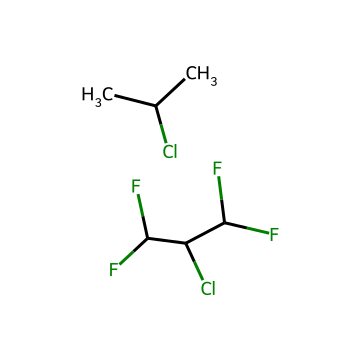 CC(C)Cl.FC(F)C(Cl)C(F)F